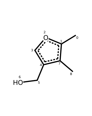 Cc1occ(CO)c1C